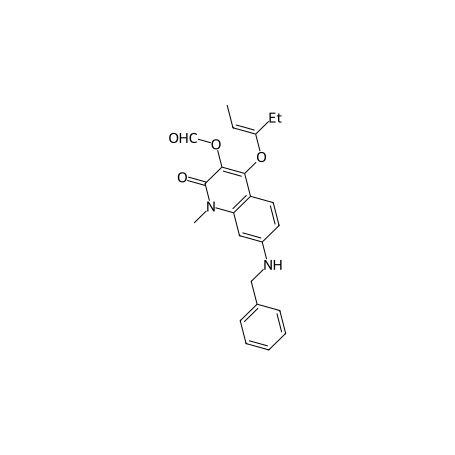 CC=C(CC)Oc1c(OC=O)c(=O)n(C)c2cc(NCc3ccccc3)ccc12